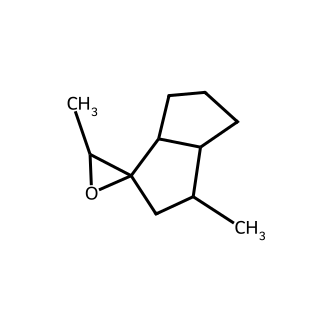 CC1CC2(OC2C)C2CCCC12